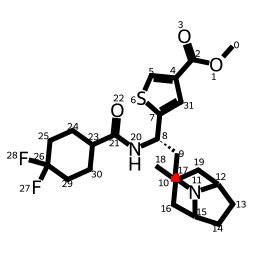 COC(=O)c1csc([C@H](CCN2C3CCC2CC(C)C3)NC(=O)C2CCC(F)(F)CC2)c1